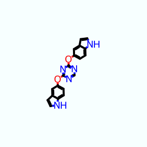 c1nc(Oc2ccc3[nH]ccc3c2)nc(Oc2ccc3[nH]ccc3c2)n1